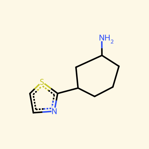 NC1CCCC(c2nccs2)C1